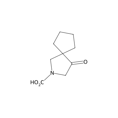 O=C(O)N1CC(=O)C2(CCCC2)C1